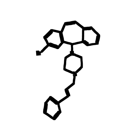 Brc1ccc2c(c1)C(N1CCN(CC=Cc3ccccc3)CC1)c1ccccc1C=C2